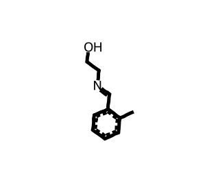 Cc1ccccc1/C=N/CCO